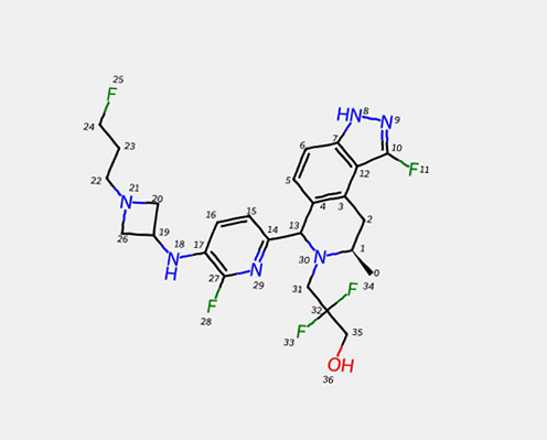 C[C@@H]1Cc2c(ccc3[nH]nc(F)c23)C(c2ccc(NC3CN(CCCF)C3)c(F)n2)N1CC(F)(F)CO